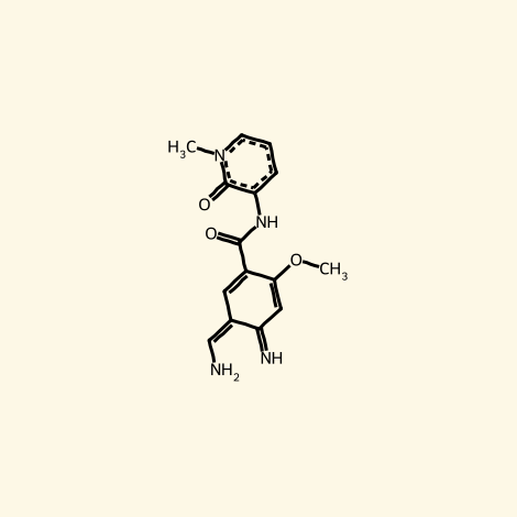 COC1=CC(=N)/C(=C\N)C=C1C(=O)Nc1cccn(C)c1=O